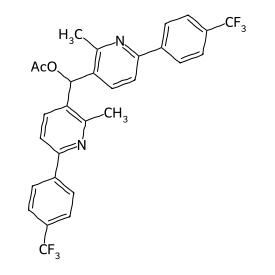 CC(=O)OC(c1ccc(-c2ccc(C(F)(F)F)cc2)nc1C)c1ccc(-c2ccc(C(F)(F)F)cc2)nc1C